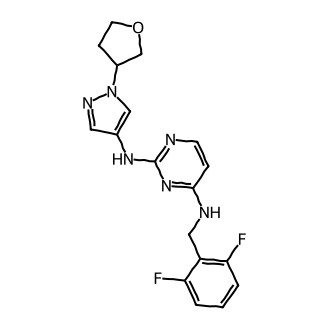 Fc1cccc(F)c1CNc1ccnc(Nc2cnn(C3CCOC3)c2)n1